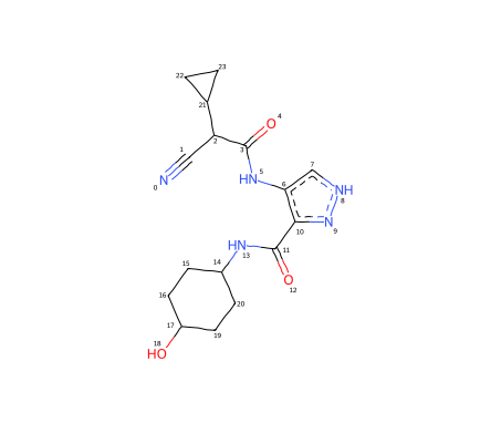 N#CC(C(=O)Nc1c[nH]nc1C(=O)NC1CCC(O)CC1)C1CC1